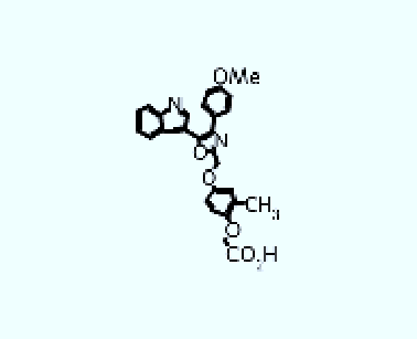 COc1ccc(-c2nc(COc3ccc(OCC(=O)O)c(C)c3)oc2-c2cnc3ccccc3c2)cc1